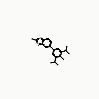 Cc1nc2cc(-c3cc(C(C)C)c(C)c(C(C)C)c3)ccc2s1